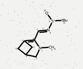 CN1CC2CC(=C1/C=N/[S+]([O-])C(C)(C)C)C2